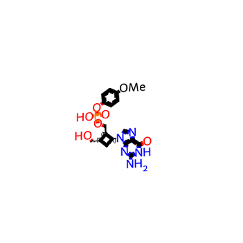 COc1ccc(OP(=O)(O)OC[C@@H]2[C@@H](CO)C[C@H]2n2cnc3c(=O)[nH]c(N)nc32)cc1